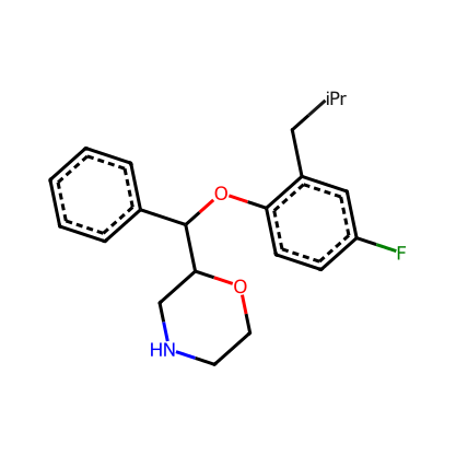 CC(C)Cc1cc(F)ccc1OC(c1ccccc1)C1CNCCO1